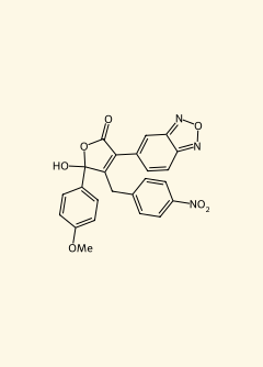 COc1ccc(C2(O)OC(=O)C(c3ccc4nonc4c3)=C2Cc2ccc([N+](=O)[O-])cc2)cc1